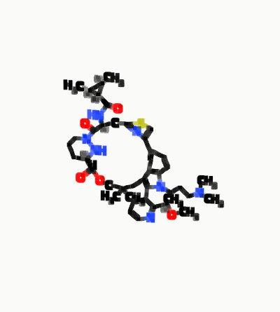 CO[C@@H](C)c1ncccc1-c1c2c3cc(ccc3n1CCCN(C)C)-c1csc(n1)C[C@H](NC(=O)[C@H]1[C@H](C)[C@@H]1C)C(=O)N1CCC[C@H](N1)C(=O)OCC(C)(C)C2